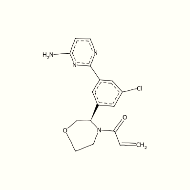 C=CC(=O)N1CCOC[C@H]1c1cc(Cl)cc(-c2nccc(N)n2)c1